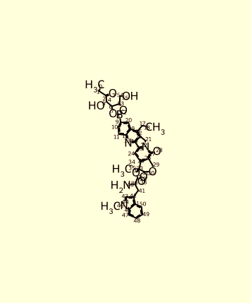 CCC(=O)[C@@H](O)C1OB(c2ccc3nc4c(c(CC)c3c2)Cn2c-4cc3c(c2=O)COC(=O)[C@@]3(CC)OC(=O)[C@H](N)Cc2cn(C)c3ccccc23)OC1CO